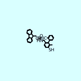 Cc1c(S)ccc(CNC(=O)OCC2c3ccccc3-c3ccccc32)c1-c1ccccc1C=O